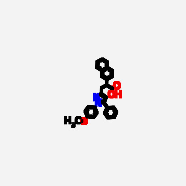 COc1ccc(-n2nc(CC(C(=O)O)c3ccc4ccccc4c3)cc2-c2ccccc2)cc1